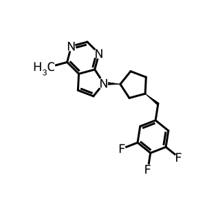 Cc1ncnc2c1ccn2[C@H]1CC[C@@H](Cc2cc(F)c(F)c(F)c2)C1